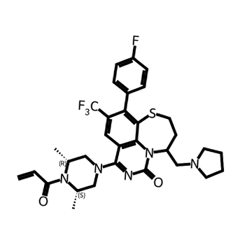 C=CC(=O)N1[C@H](C)CN(c2nc(=O)n3c4c(c(-c5ccc(F)cc5)c(C(F)(F)F)cc24)SCCC3CN2CCCC2)C[C@@H]1C